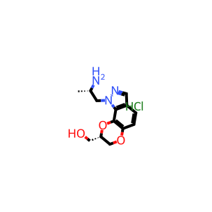 C[C@H](N)Cn1ncc2ccc3c(c21)O[C@@H](CO)CO3.Cl